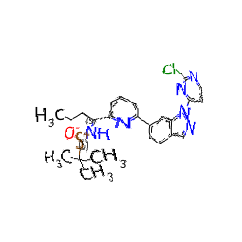 CCC[C@H](N[S@+]([O-])C(C)(C)C)c1cccc(-c2ccc3cnn(-c4ccnc(Cl)n4)c3c2)n1